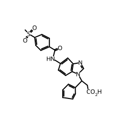 CS(=O)(=O)c1ccc(C(=O)Nc2ccc3c(c2)ncn3C(CC(=O)O)c2ccccc2)cc1